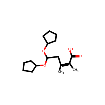 CC(CC(OC1CCCC1)OC1CCCC1)=C(C)C(=O)O